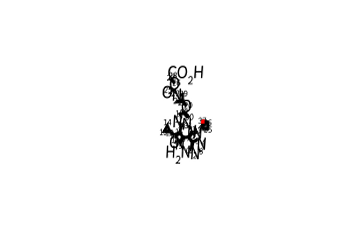 Nc1ncnc2c1c(-c1noc(C3CC3)c1-c1ncc(OC3CN(C(=O)OCC(=O)O)C3)cn1)nn2C12CC(C1)C2